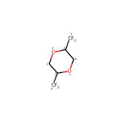 FC(F)(F)C1COC(C(F)(F)F)CO1